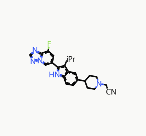 CC(C)c1c(-c2cc(F)c3ncnn3c2)[nH]c2ccc(C3CCN(CC#N)CC3)cc12